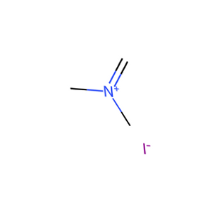 C=[N+](C)C.[I-]